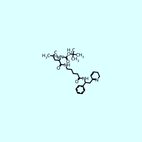 CC(C)CC(NC(=O)OC(C)(C)C)C(=O)NCCCCC(=O)NC(CC1=NCCC=C1)c1ccccc1